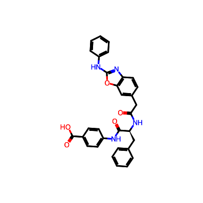 O=C(Cc1ccc2nc(Nc3ccccc3)oc2c1)N[C@@H](Cc1ccccc1)C(=O)Nc1ccc(C(=O)O)cc1